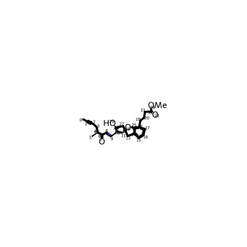 CC#CC[C@H](C)C(=O)/C=C/[C@@H]1C[C@]2(Cc3cccc(CCCC(=O)OC)c3O2)C[C@H]1O